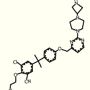 CC(C)(c1ccc(OCc2ccnc(N3CCN(C4CNC4)CC3)n2)cc1)c1cc(Cl)c(OCCCl)c(C#N)c1